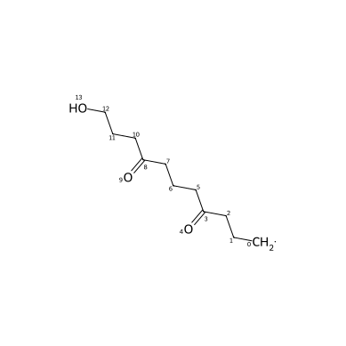 [CH2]CCC(=O)CCCC(=O)CCCO